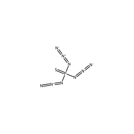 [N-]=[N+]=NP(=S)(N=[N+]=[N-])N=[N+]=[N-]